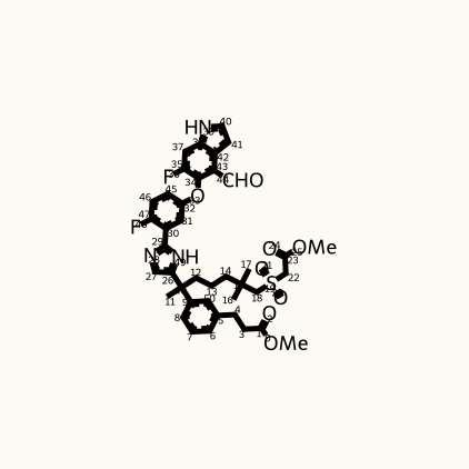 COC(=O)CCc1cccc(C(C)(CCCC(C)(C)CS(=O)(=O)CC(=O)OC)c2cnc(-c3cc(Oc4c(F)cc5[nH]ccc5c4C=O)ccc3F)[nH]2)c1